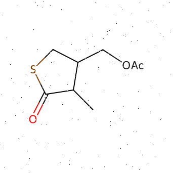 CC(=O)OCC1CSC(=O)C1C